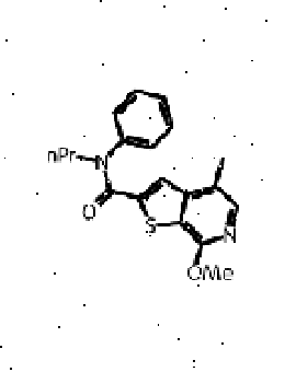 CCCN(C(=O)c1cc2c(C)cnc(OC)c2s1)c1ccccc1